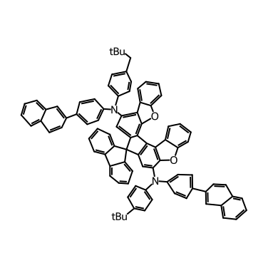 CC(C)(C)Cc1ccc(N(c2ccc(-c3ccc4ccccc4c3)cc2)c2cc3c(c4oc5ccccc5c24)-c2c(cc(N(c4ccc(-c5ccc6ccccc6c5)cc4)c4ccc(C(C)(C)C)cc4)c4oc5ccccc5c24)C32c3ccccc3-c3ccccc32)cc1